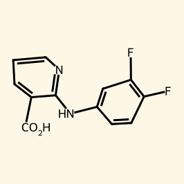 O=C(O)c1cccnc1Nc1ccc(F)c(F)c1